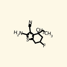 CCC1(C)CC(F)Cc2sc(N)c(C#N)c21